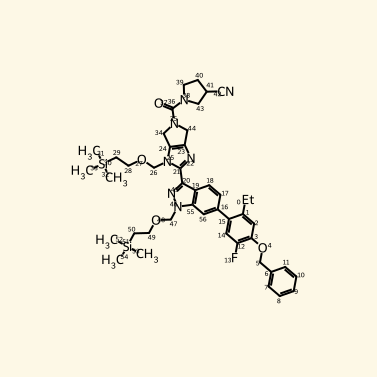 CCc1cc(OCc2ccccc2)c(F)cc1-c1ccc2c(-c3nc4c(n3COCC[Si](C)(C)C)CN(C(=O)N3CCC(C#N)C3)C4)nn(COCC[Si](C)(C)C)c2c1